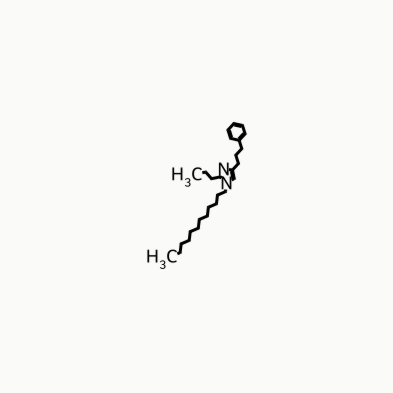 CCCCCCCCCCCCn1cc(CCCc2ccccc2)nc1CCC